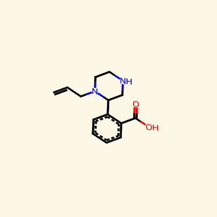 C=CCN1CCNCC1c1ccccc1C(=O)O